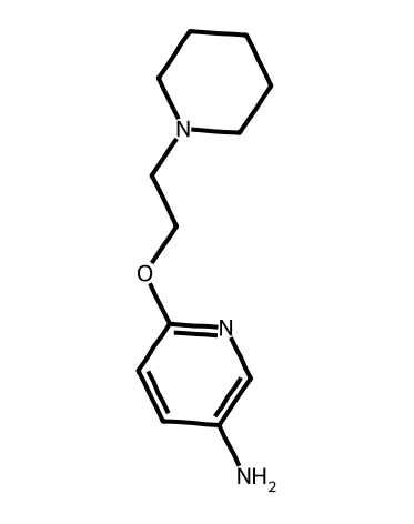 Nc1ccc(OCCN2CCCCC2)nc1